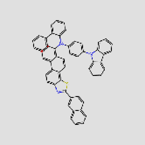 c1ccc(-c2ccccc2N(c2ccc(-n3c4ccccc4c4ccccc43)cc2)c2cccc3c2ccc2c3ccc3nc(-c4ccc5ccccc5c4)sc32)cc1